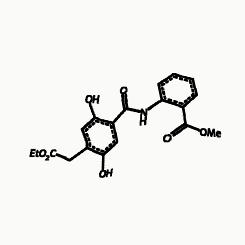 CCOC(=O)Cc1cc(O)c(C(=O)Nc2ccccc2C(=O)OC)cc1O